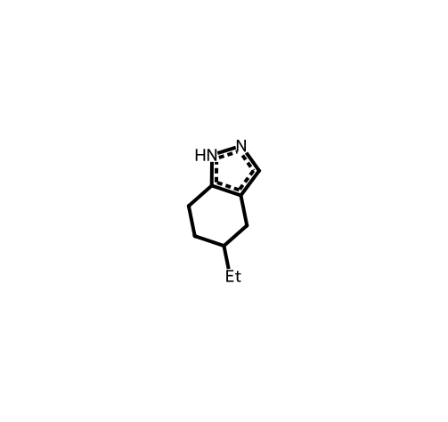 [CH2]CC1CCc2[nH]ncc2C1